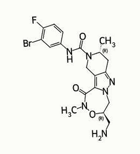 C[C@@H]1Cc2nn3c(c2CN1C(=O)Nc1ccc(F)c(Br)c1)C(=O)N(C)O[C@H](CN)C3